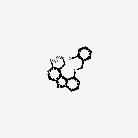 CCOC(=O)c1ncc2[nH]c3cccc(OCc4ccccc4Cl)c3c2c1COC